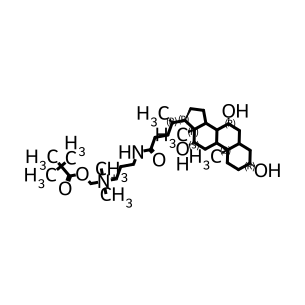 C[C@H](CCC(=O)NCCC[N+](C)(C)COC(=O)C(C)(C)C)[C@H]1CCC2C3C(C[C@H](O)[C@@]21C)[C@@]1(C)CC[C@@H](O)CC1C[C@H]3O